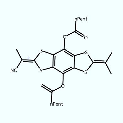 C=C(CCCCC)Oc1c2c(c(OC(=O)CCCCC)c3c1S/C(=C(/C)C#N)S3)SC(=C(C)C)S2